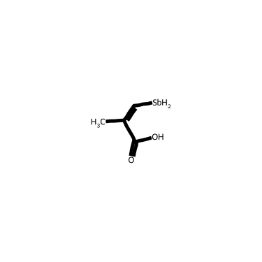 CC(=[CH][SbH2])C(=O)O